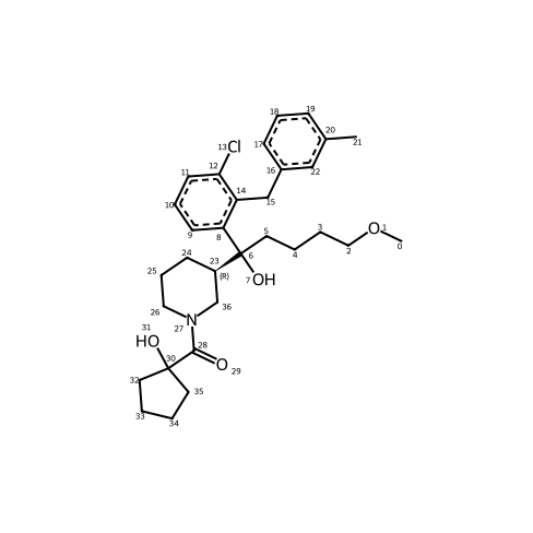 COCCCCC(O)(c1cccc(Cl)c1Cc1cccc(C)c1)[C@@H]1CCCN(C(=O)C2(O)CCCC2)C1